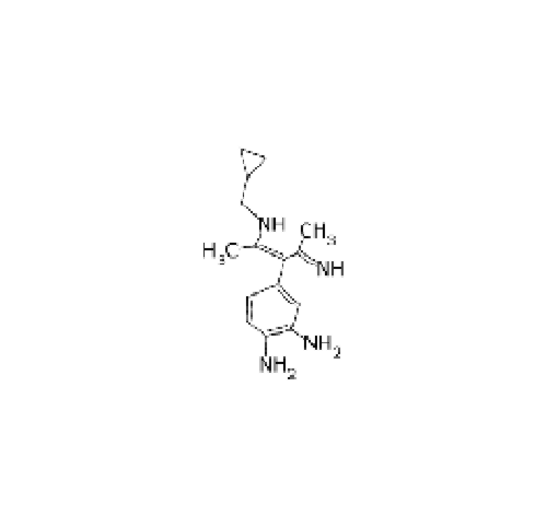 CC(=N)/C(=C(/C)NCC1CC1)c1ccc(N)c(N)c1